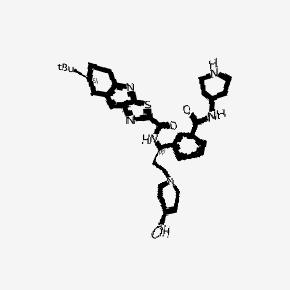 CC(C)(C)[C@H]1CCc2nc3sc(C(=O)N[C@H](CCN4CCC(O)CC4)c4cccc(C(=O)NC5CCNCC5)c4)nc3cc2C1